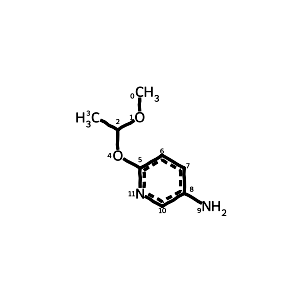 COC(C)Oc1ccc(N)cn1